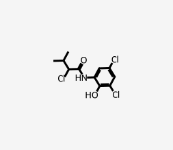 CC(C)C(Cl)C(=O)Nc1cc(Cl)cc(Cl)c1O